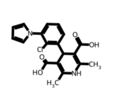 CC1=C(C(=O)O)C(c2cccc(-n3cccc3)c2Cl)C(C(=O)O)=C(C)N1